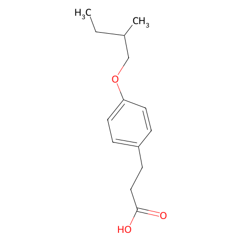 CCC(C)COc1ccc(CCC(=O)O)cc1